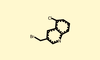 Clc1cccc2ncc(CBr)cc12